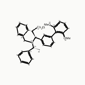 CCOC(=O)C[C@@H](c1cccc(-c2c(OC)cccc2OC)c1)N(Cc1ccccc1)[C@H](C)c1ccccc1